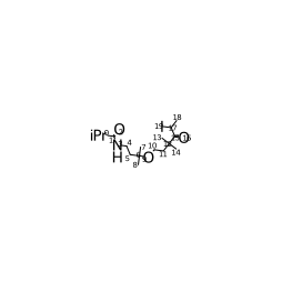 CC(C)C(=O)NCCC(C)(C)OCCC(C)(C)C(=O)C(C)I